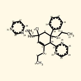 CCSC1=CC(Cl)(NN)CC(SCC)(c2ccccc2)C1c1ncccn1.c1cncnc1